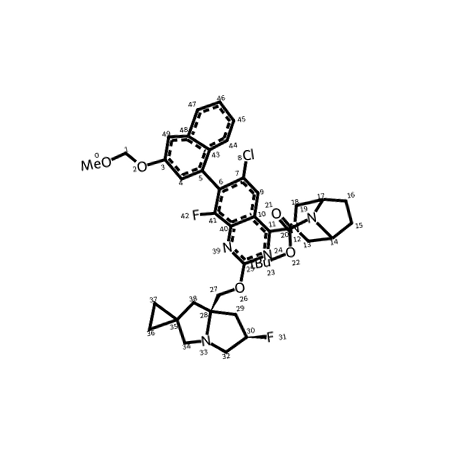 COCOc1cc(-c2c(Cl)cc3c(N4CC5CCC(C4)N5C(=O)OC(C)(C)C)nc(OC[C@@]45C[C@@H](F)CN4CC4(CC4)C5)nc3c2F)c2ccccc2c1